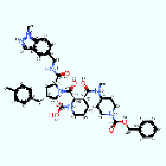 Cc1ccc(C[C@@H]2C[C@@H](C(=O)NCc3ccc4c(cnn4C)c3)N(C(=O)[C@H]3[C@@H](C(=O)N(C)C4CCN(C(=O)OCc5ccccc5)CC4)CCCN3C(=O)O)C2)cc1